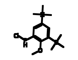 COc1c(PCl)cc([Si](C)(C)C)cc1[Si](C)(C)C